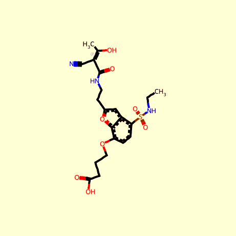 CCNS(=O)(=O)c1ccc(OCCCC(=O)O)c2oc(CCNC(=O)/C(C#N)=C(/C)O)cc12